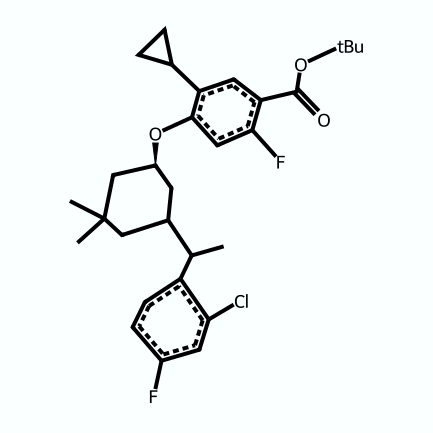 CC(c1ccc(F)cc1Cl)C1C[C@H](Oc2cc(F)c(C(=O)OC(C)(C)C)cc2C2CC2)CC(C)(C)C1